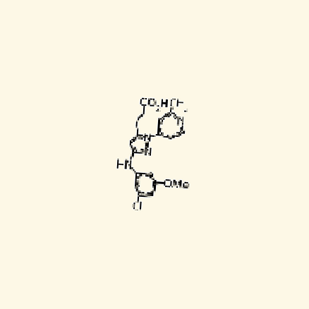 COc1cc(Cl)cc(Nc2cc(CCC(=O)O)n(-c3ccnc(C)c3)n2)c1